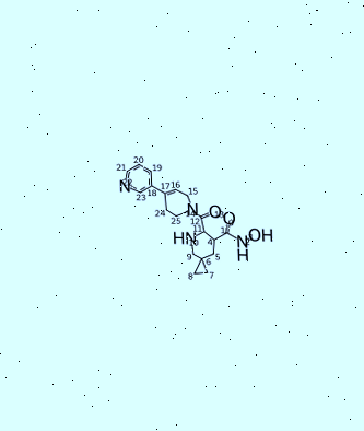 O=C(NO)C1CC2(CC2)CNC1C(=O)N1CC=C(c2cccnc2)CC1